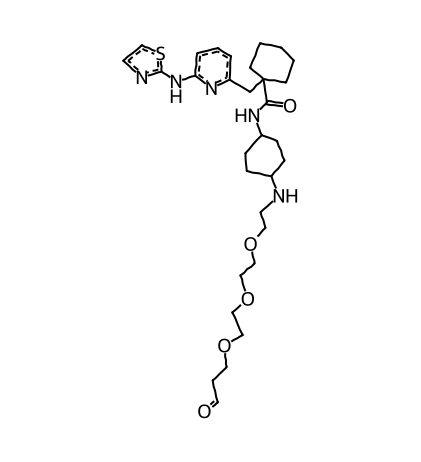 O=CCCOCCOCCOCCNC1CCC(NC(=O)C2(Cc3cccc(Nc4nccs4)n3)CCCCC2)CC1